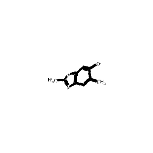 Cc1nc2cc(C)c([O])cc2s1